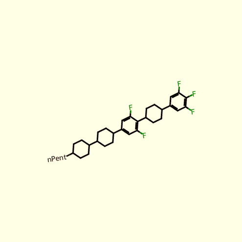 CCCCCC1CCC(C2CCC(c3cc(F)c(C4CCC(c5cc(F)c(F)c(F)c5)CC4)c(F)c3)CC2)CC1